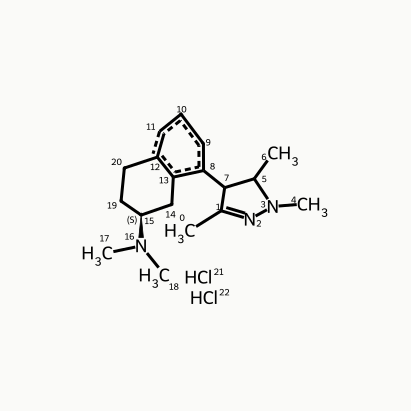 CC1=NN(C)C(C)C1c1cccc2c1C[C@@H](N(C)C)CC2.Cl.Cl